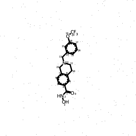 O=C(NO)c1ccc2c(c1)CCN(Cc1cccc(OC(F)(F)F)c1)C2